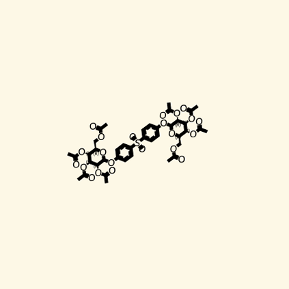 CC(=O)OC[C@H]1OC(Oc2ccc(S(=O)(=O)c3ccc(OC4O[C@H](COC(C)=O)[C@@H](OC(C)=O)[C@H](OC(C)=O)[C@H]4OC(C)=O)cc3)cc2)[C@H](OC(C)=O)[C@@H](OC(C)=O)[C@@H]1OC(C)=O